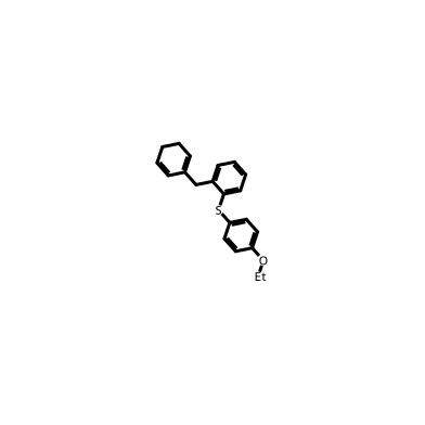 CCOc1ccc(Sc2ccccc2CC2=CCCC=C2)cc1